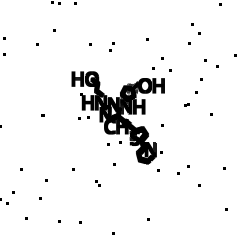 Cc1nc(NCCCO)nc(N[C@H]2CC[C@@H](CO)C2)c1C#Cc1ccc(-c2ccccn2)s1